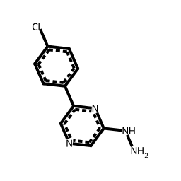 NNc1cncc(-c2ccc(Cl)cc2)n1